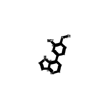 CCOc1ccc(-c2ccnc3cc[nH]c23)cc1C#N